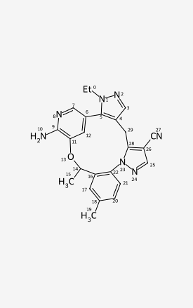 CCn1ncc2c1-c1cnc(N)c(c1)OC(C)c1cc(C)ccc1-n1ncc(C#N)c1C2